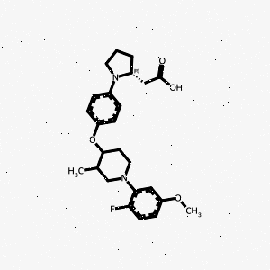 COc1ccc(F)c(N2CCC(Oc3ccc(N4CCC[C@@H]4CC(=O)O)cc3)C(C)C2)c1